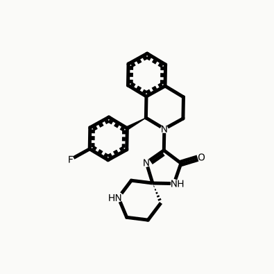 O=C1N[C@]2(CCCNC2)N=C1N1CCc2ccccc2[C@@H]1c1ccc(F)cc1